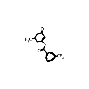 O=C1C=C(NC(=O)c2cccc(C(F)(F)F)c2)CC(C(F)(F)F)C1